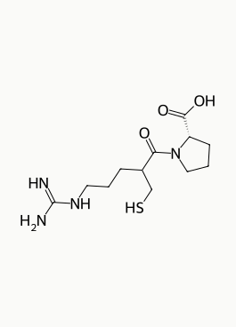 N=C(N)NCCCC(CS)C(=O)N1CCC[C@H]1C(=O)O